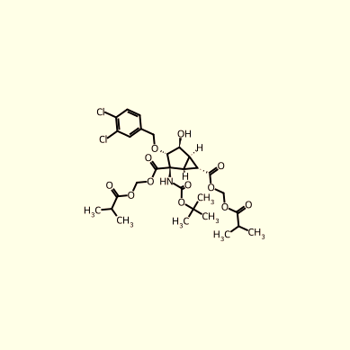 CC(C)C(=O)OCOC(=O)[C@H]1[C@@H]2[C@H](O)[C@@H](OCc3ccc(Cl)c(Cl)c3)[C@@](NC(=O)OC(C)(C)C)(C(=O)OCOC(=O)C(C)C)[C@H]12